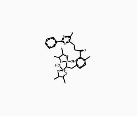 Cc1sc(-c2ccccc2)nc1CCC(=O)c1cc(CC([PH]2(O)OC(C)C(C)O2)[PH]2(O)OC(C)C(C)O2)ccc1F